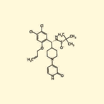 C=CCOc1cc(Cl)c(Cl)cc1[C@H](N[S+]([O-])C(C)(C)C)C1CCN(c2cc[nH]c(=O)c2)CC1